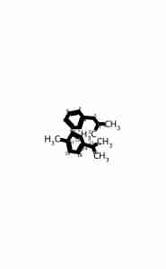 CC(C)Cc1ccccc1.Cc1ccc(C(C)C)cc1